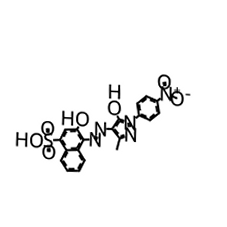 Cc1nn(-c2ccc([N+](=O)[O-])cc2)c(O)c1N=Nc1c(O)cc(S(=O)(=O)O)c2ccccc12